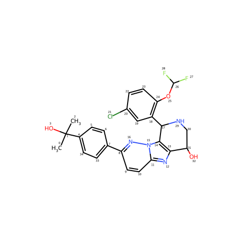 CC(C)(O)c1ccc(-c2ccc3nc4c(n3n2)C(c2cc(Cl)ccc2OC(F)F)NCC4O)cc1